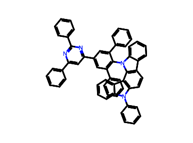 c1ccc(-c2cc(-c3cc(-c4ccccc4)c(-n4c5ccccc5c5ccc6c(c7ccccc7n6-c6ccccc6)c54)c(-c4ccccc4)c3)nc(-c3ccccc3)n2)cc1